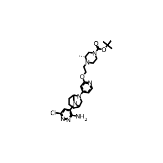 C[C@@H]1CN(C(=O)OC(C)(C)C)CCN1CCOc1cc(N2CC3CCCC2CN3c2cc(Cl)nnc2N)ccn1